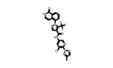 Cc1cnn(-c2ncc(NC(=O)c3cnn(-c4cccc5c(=O)[nH]ccc45)c3C(F)(F)F)cc2Cl)n1